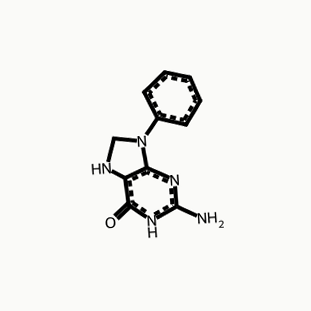 Nc1nc2c(c(=O)[nH]1)NCN2c1ccccc1